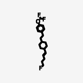 FCCCC=CC1CCC(CCc2ccc(OC(F)F)cc2)CC1